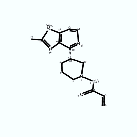 C=CC(=O)NN1CCC[C@H](c2nccc3[nH]c(C)nc23)C1